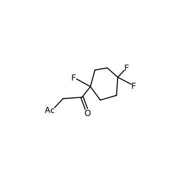 CC(=O)CC(=O)C1(F)CCC(F)(F)CC1